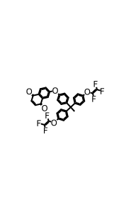 CC(c1ccc(OC(F)=C(F)F)cc1)(c1ccc(OC(F)=C(F)F)cc1)c1ccc(Oc2ccc3c(c2)C(=O)C=CC3=O)cc1